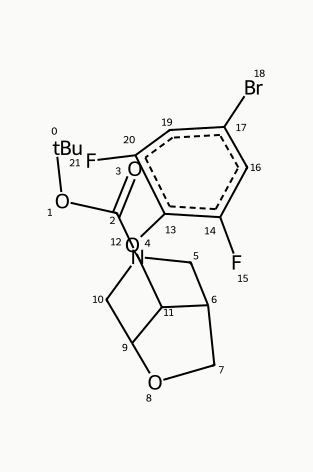 CC(C)(C)OC(=O)N1CC2COC(C1)C2Oc1c(F)cc(Br)cc1F